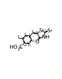 Cc1cc(C=C2SC(=S)NC2=O)ccc1C(=O)O